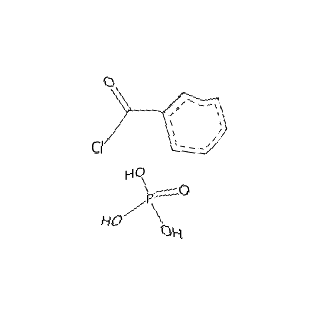 O=C(Cl)c1ccccc1.O=P(O)(O)O